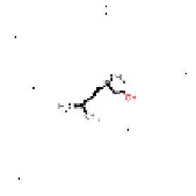 C=C(C)CC=C[C@H](C)CCO